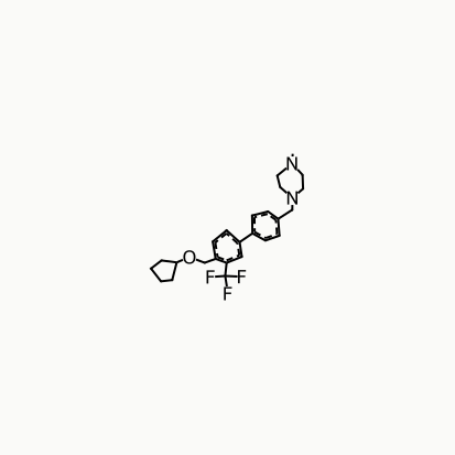 CN1CCN(Cc2ccc(-c3ccc(COC4CCCC4)c(C(F)(F)F)c3)cc2)CC1